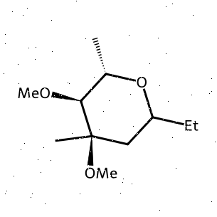 CCC1C[C@@](C)(OC)[C@@H](OC)[C@H](C)O1